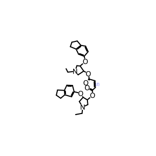 CCN1CC(OC(=O)/C=C\C(=O)OC2CN(CC)CC2Oc2ccc3c(c2)CCC3)C(Oc2ccc3c(c2)CCC3)C1